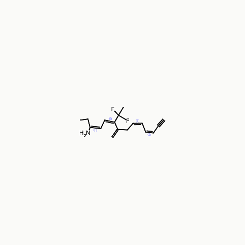 C#C/C=C\C=C/CC(=C)/C(=C\C=C(\N)CC)C(C)(F)F